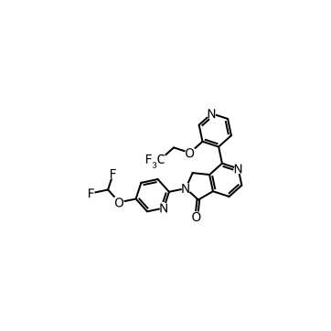 O=C1c2ccnc(-c3ccncc3OCC(F)(F)F)c2CN1c1ccc(OC(F)F)cn1